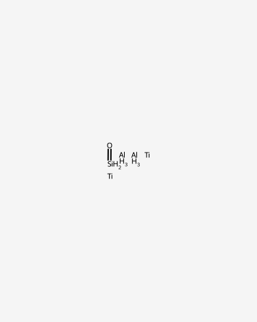 O=[SiH2].[AlH3].[AlH3].[Ti].[Ti]